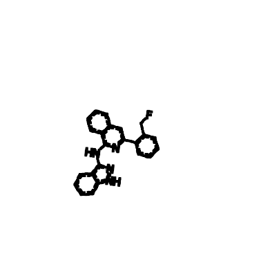 FCc1ccccc1-c1cc2ccccc2c(Nc2n[nH]c3ccccc23)n1